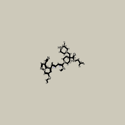 C=N/C(=C\C=C(/C)c1cc(OCC)cn2ncc(C#N)c12)N1CCC(CN2CCN[C@@H](C)C2)(C(=O)NCC(C)C)CC1